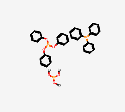 CCOP(OCC)OCC.c1ccc(OP(Oc2ccccc2)Oc2ccccc2)cc1.c1ccc(P(c2ccccc2)c2ccccc2)cc1